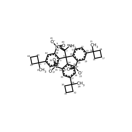 CC1(c2ccc(C(C(N)=O)(c3ccc(C4(C)CCC4)cc3[N+](=O)[O-])c3ccc(C4(C)CCC4)cc3[N+](=O)[O-])c([N+](=O)[O-])c2)CCC1